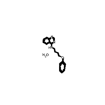 O.c1ccc(OCCCCNc2ncnc3ccccc23)cc1